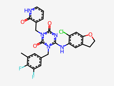 Cc1cc(Cn2c(Nc3cc4c(cc3Cl)OCC4)nc(=O)n(Cc3ccc[nH]c3=O)c2=O)cc(F)c1F